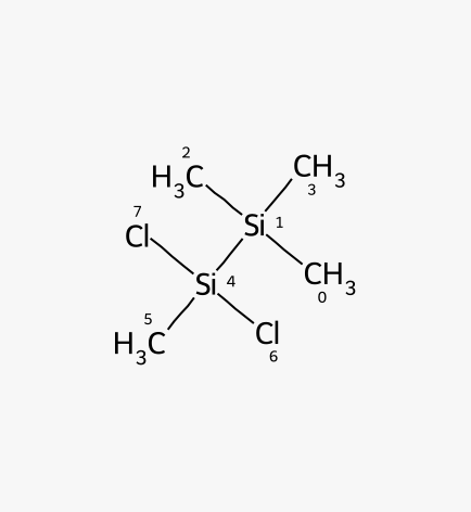 C[Si](C)(C)[Si](C)(Cl)Cl